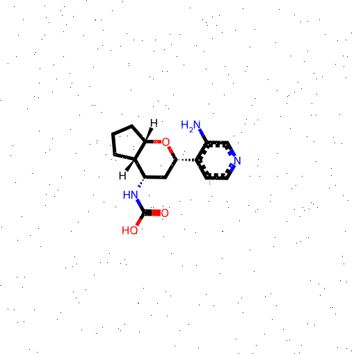 Nc1cnccc1[C@@H]1C[C@H](NC(=O)O)[C@@H]2CCC[C@@H]2O1